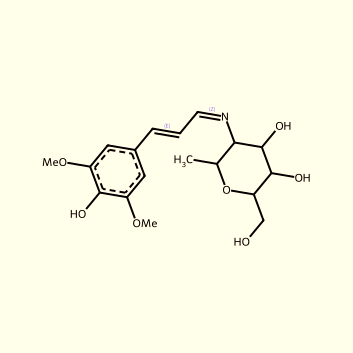 COc1cc(/C=C/C=N\C2C(C)OC(CO)C(O)C2O)cc(OC)c1O